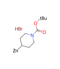 Br.CC(C)(C)OC(=O)N1CC[CH]([Zn])CC1